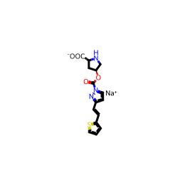 O=C([O-])C1C[C@H](OC(=O)n2ccc(/C=C/c3cccs3)n2)CN1.[Na+]